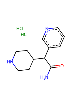 Cl.Cl.NC(=O)C(c1cccnc1)C1CCNCC1